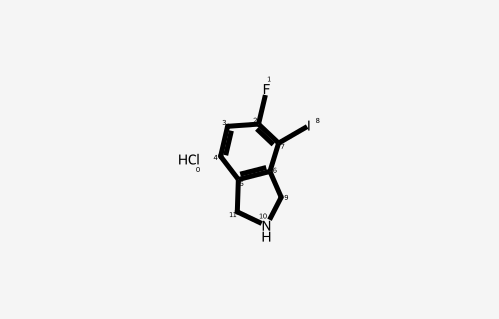 Cl.Fc1ccc2c(c1I)CNC2